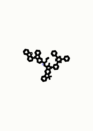 C=CC/C(=C\c1c(C)n(-c2cccc(-c3nc(-c4ccccc4)nc(-c4ccccc4)n3)c2)c2cc3c(cc12)-c1ccccc1C3(C)C)c1ccc2c(c1)c1ccccc1n2-c1cccc2c1oc1ccccc12